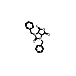 O=C1OC(=O)C2C1N(Cc1ccccc1)C(=O)N2Cc1ccccc1